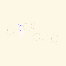 Cc1cc(CC(C(=O)O)c2[nH]c(-c3ccccc3)nc2Cl)ccc1OCc1ccccc1